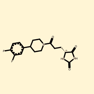 O=C1NC(=O)[C@@H](CCC(=O)N2CCC(c3ccc(F)c(F)c3)CC2)N1